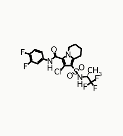 C[C@@H](NS(=O)(=O)c1c(Cl)c(C(=O)Nc2ccc(F)c(F)c2)n2c1CCCC2)C(F)(F)F